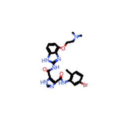 Cc1ccc(Br)cc1NC(=O)c1nc[nH]c1C(=O)Nc1nc2c(OCCN(C)C)cccc2[nH]1